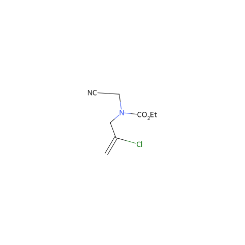 C=C(Cl)CN(CC#N)C(=O)OCC